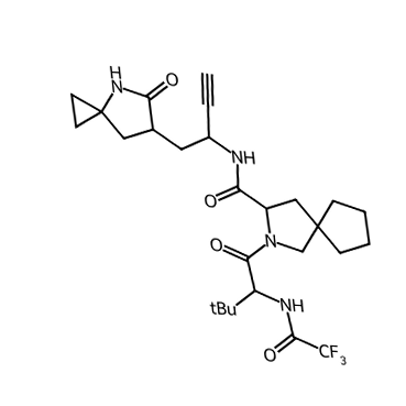 C#CC(CC1CC2(CC2)NC1=O)NC(=O)C1CC2(CCCC2)CN1C(=O)C(NC(=O)C(F)(F)F)C(C)(C)C